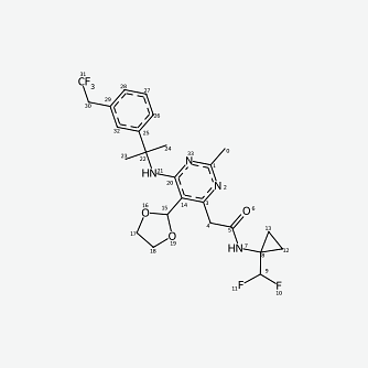 Cc1nc(CC(=O)NC2(C(F)F)CC2)c(C2OCCO2)c(NC(C)(C)c2cccc(CC(F)(F)F)c2)n1